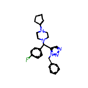 Fc1ccc(C(c2cnnn2Cc2ccccc2)N2CCN(C3CCCC3)CC2)cc1